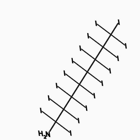 NC(I)(I)C(I)(I)C(I)(I)C(I)(I)C(I)(I)C(I)(I)C(I)(I)C(I)(I)I